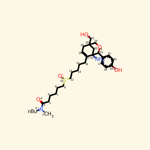 CCCCN(C)C(=O)CCCCC[S+]([O-])CCCCCC1=CCC2(CO)COC(c3ccc(O)cc3)C1(N)C2